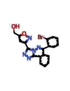 OCc1cc(-c2nnc3c4ccccc4c(-c4ccccc4Br)nn23)no1